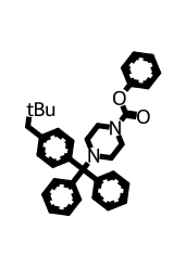 CC(C)(C)Cc1ccc(C(c2ccccc2)(c2ccccc2)N2CCN(C(=O)Oc3ccccc3)CC2)cc1